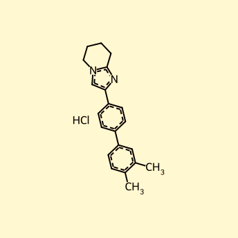 Cc1ccc(-c2ccc(-c3cn4c(n3)CCCC4)cc2)cc1C.Cl